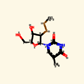 Cc1cn([C@@H]2O[C@H](CO)C(O)C2SSC(Cl)(Cl)Cl)c(=O)[nH]c1=O